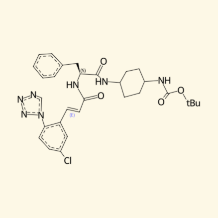 CC(C)(C)OC(=O)NC1CCC(NC(=O)[C@H](Cc2ccccc2)NC(=O)/C=C/c2cc(Cl)ccc2-n2cnnn2)CC1